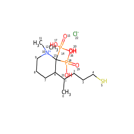 CC(CCCS)C1CCC[N+](C)(C)C1(P(=O)(O)O)P(=O)(O)O.[Cl-]